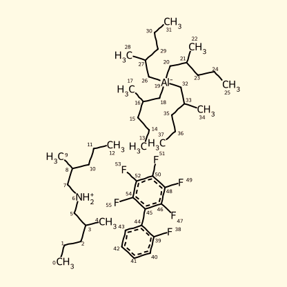 CCCC(C)C[NH2+]CC(C)CCC.CCCC(C)[CH2][Al-]([CH2]C(C)CCC)([CH2]C(C)CCC)[CH2]C(C)CCC.Fc1ccccc1-c1c(F)c(F)c(F)c(F)c1F